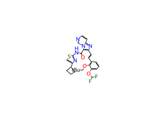 CC(C)(C)COc1c(C=Cc2nc3ccncn3c2C(=O)Nc2nc(C3CCC3)cs2)cccc1OC(F)F